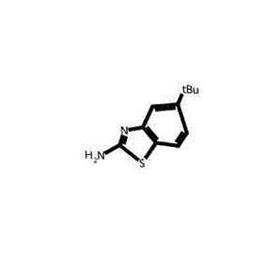 CC(C)(C)c1ccc2sc(N)nc2c1